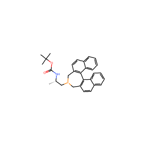 C[C@@H](CP1Cc2ccc3ccccc3c2-c2c(ccc3ccccc23)C1)NC(=O)OC(C)(C)C